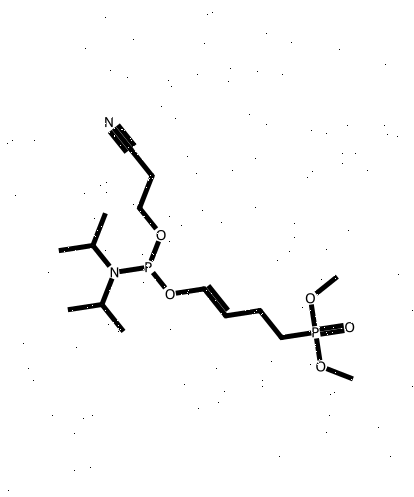 COP(=O)(CC/C=C/OP(OCCC#N)N(C(C)C)C(C)C)OC